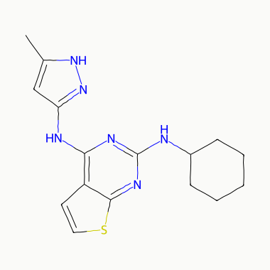 Cc1cc(Nc2nc(NC3CCCCC3)nc3sccc23)n[nH]1